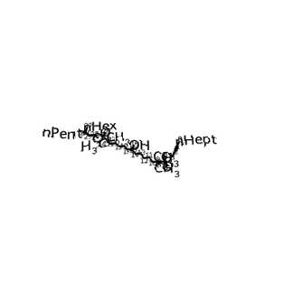 CCCCCCCC#CCOC(=O)C(C)(C)CCCCCC(O)CCCCCC(C)(C)C(=O)OCCC(CCCCC)CCCCCC